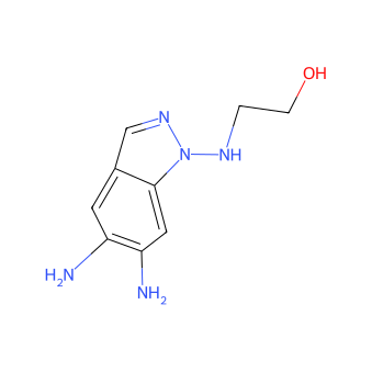 Nc1cc2cnn(NCCO)c2cc1N